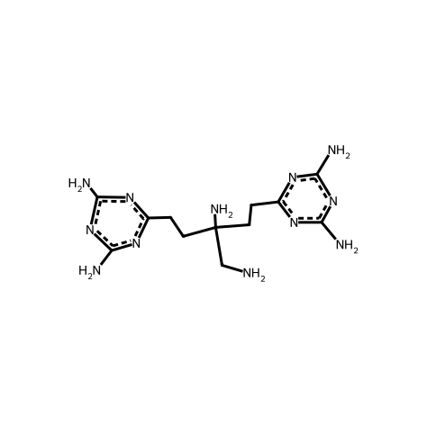 NCC(N)(CCc1nc(N)nc(N)n1)CCc1nc(N)nc(N)n1